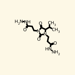 CC(C)C1C(=O)N(CCC(=O)NN)C(=O)N1CCC(=O)NN